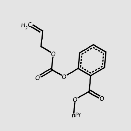 C=CCOC(=O)Oc1ccccc1C(=O)OCCC